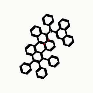 c1ccc(-c2c(-c3ccccc3)c(-c3ccccc3)c3c(-c4ccc(N(c5ccccc5)c5cc6ccccc6c6ccccc56)c5ccccc45)cccc3c2-c2ccccc2)cc1